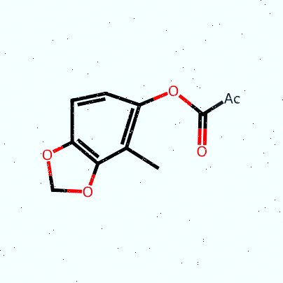 CC(=O)C(=O)Oc1ccc2c(c1C)OCO2